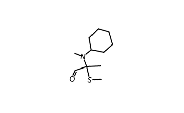 CSC(C)(C=O)N(C)C1CCCCC1